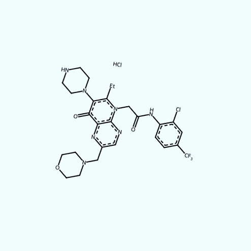 CCc1c(N2CCNCC2)c(=O)c2nc(CN3CCOCC3)cnc2n1CC(=O)Nc1ccc(C(F)(F)F)cc1Cl.Cl